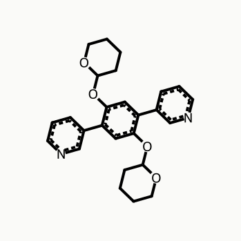 c1cncc(-c2cc(OC3CCCCO3)c(-c3cccnc3)cc2OC2CCCCO2)c1